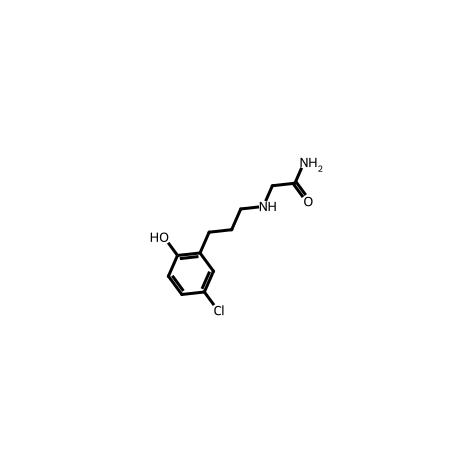 NC(=O)CNCCCc1cc(Cl)ccc1O